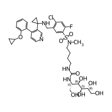 CN(CCCCNC(=O)N[C@@H](CO)[C@@H](O)[C@H](O)[C@H](O)CO)S(=O)(=O)c1cc(CNC2(c3cnccc3-c3ccccc3OC3CC3)CC2)c(Cl)cc1F